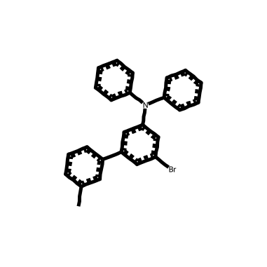 Cc1cccc(-c2cc(Br)cc(N(c3ccccc3)c3ccccc3)c2)c1